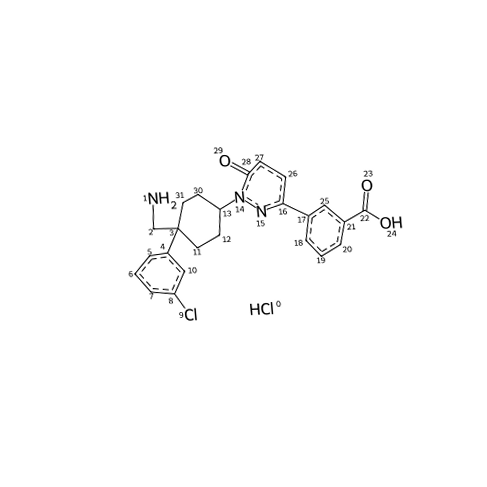 Cl.NCC1(c2cccc(Cl)c2)CCC(n2nc(-c3cccc(C(=O)O)c3)ccc2=O)CC1